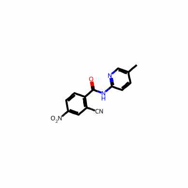 Cc1ccc(NC(=O)c2ccc([N+](=O)[O-])cc2C#N)nc1